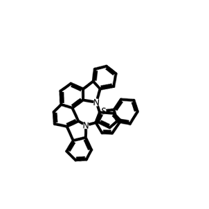 c1ccc(-n2c3ccccc3c3ccc4ccc5c6ccccc6n(-c6cc7ccccc7s6)c5c4c32)cc1